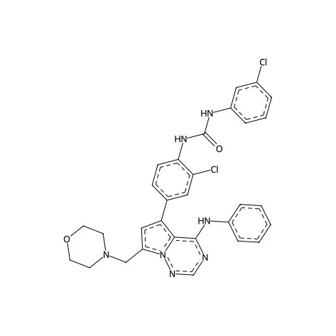 O=C(Nc1cccc(Cl)c1)Nc1ccc(-c2cc(CN3CCOCC3)n3ncnc(Nc4ccccc4)c23)cc1Cl